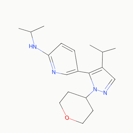 CC(C)Nc1ccc(-c2c(C(C)C)cnn2C2CCOCC2)cn1